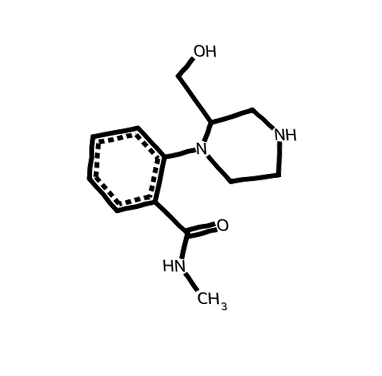 CNC(=O)c1ccccc1N1CCNCC1CO